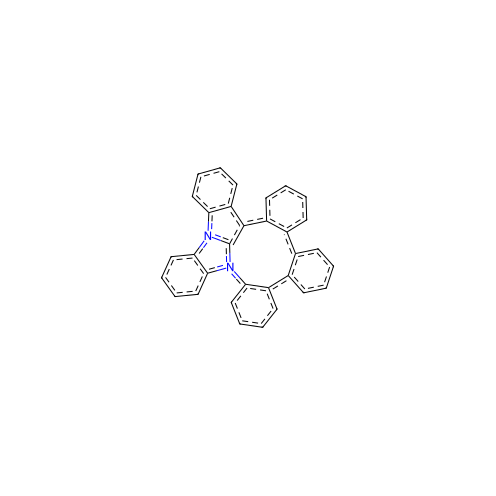 c1ccc2c(c1)c1ccccc1c1c3ccccc3n3c4ccccc4n(c4ccccc24)c13